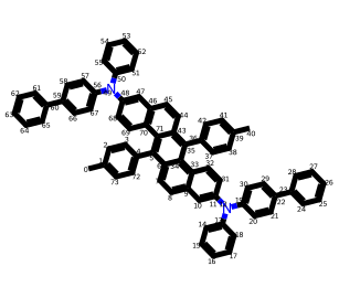 Cc1ccc(-c2c3ccc4cc(N(c5ccccc5)c5ccc(-c6ccccc6)cc5)ccc4c3c(-c3ccc(C)cc3)c3ccc4cc(N(c5ccccc5)c5ccc(-c6ccccc6)cc5)ccc4c23)cc1